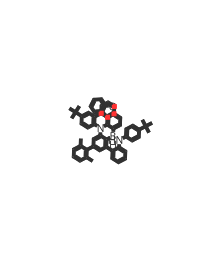 Cc1cccc(C)c1-c1cc(-c2ccccc2Nc2ccc(C(C)(C)C)cc2)c2c(c1)N(c1ccc(C(C)(C)C)cc1-c1ccccc1)c1c(ccc3oc4ccccc4c13)B2